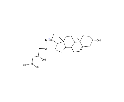 C/C(=N/OCC(O)CN(C(C)C)C(C)C)C1CCC2C3CC=C4CC(O)CCC4(C)C3CCC12C